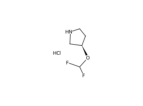 Cl.FC(F)O[C@@H]1CCNC1